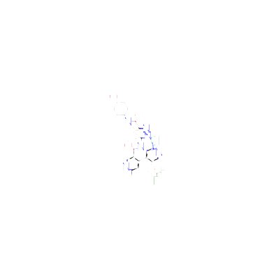 COC1CCC(N(C)C(=O)c2nnc(NC(=O)c3cnc(C)cc3-c3cc(Cl)ncc3OC(F)F)s2)CC1